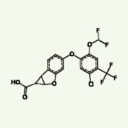 O=C(O)C1C2Oc3cc(Oc4cc(Cl)c(C(F)(F)F)cc4OC(F)F)ccc3C21